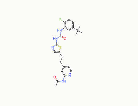 CC(=O)Nc1cc(CCc2cnc(NC(=O)Nc3cc([Si](C)(C)C)ccc3F)s2)ccn1